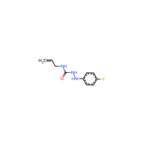 C=CCNC(=O)NNc1ccc(F)cc1